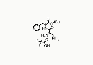 CC(C)(C)OC(=O)[C@H](Cc1ccccc1)NC(=O)[C@@H](N)CN.O=C(O)C(F)(F)F